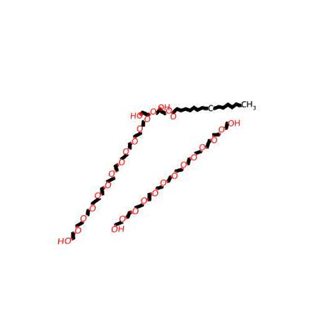 CCCCCCCCCCCCCCCCCC(=O)OCC(O)COC(CO)OCCOCCOCCOCCOCCOCCOCCOCCOCCOCCOCCO.OCCOCCOCCOCCOCCOCCOCCOCCOCCOCCOCCOCCO